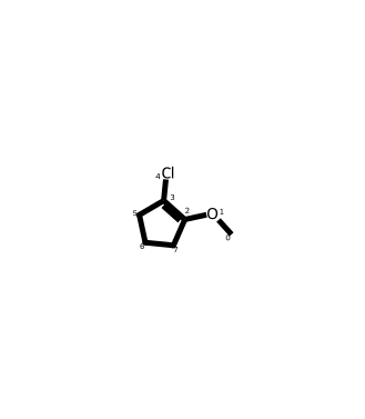 COC1=C(Cl)CCC1